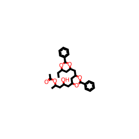 CCC1CC(CC2CC(CC(O)CC(C)OC(C)=O)OC(c3ccccc3)O2)OC(c2ccccc2)O1